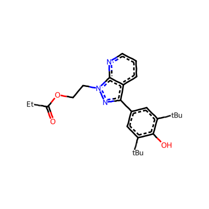 CCC(=O)OCCn1nc(-c2cc(C(C)(C)C)c(O)c(C(C)(C)C)c2)c2cccnc21